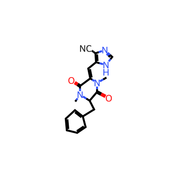 CN1C(=O)C(Cc2ccccc2)N(C)C(=O)C1=Cc1[nH]cnc1C#N